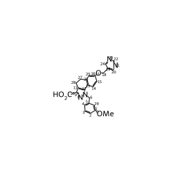 COc1cccc(Cn2nc(C(=O)O)c3c2-c2ccc(OCc4cncnc4)cc2CC3)c1